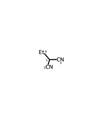 [CH2]CC(C#N)C#N